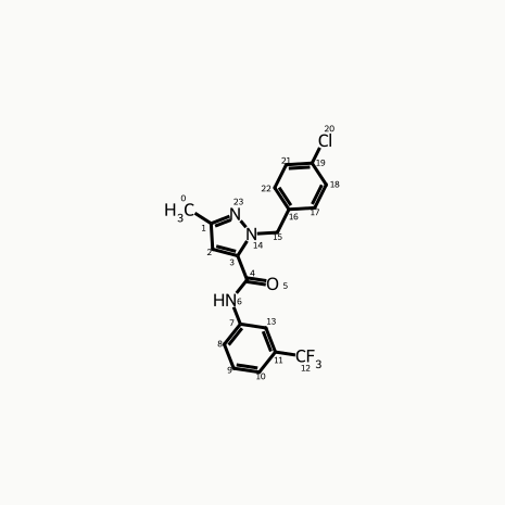 Cc1cc(C(=O)Nc2cccc(C(F)(F)F)c2)n(Cc2ccc(Cl)cc2)n1